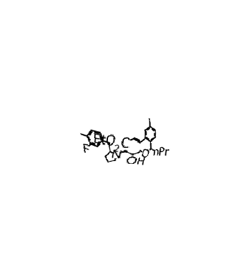 CCC[C@@H](OC[C@H](O)CN1CCC[C@H]1Cc1ccc(C)c(F)c1)c1ccc(C)cc1/C=C/C(=O)OCC